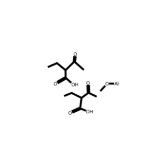 CCC(C(C)=O)C(=O)O.CCC(C(C)=O)C(=O)O.C[O][Al]